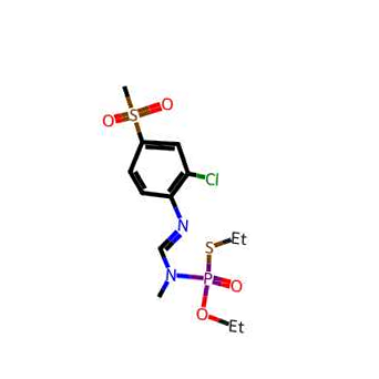 CCOP(=O)(SCC)N(C)C=Nc1ccc(S(C)(=O)=O)cc1Cl